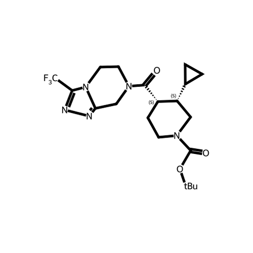 CC(C)(C)OC(=O)N1CC[C@H](C(=O)N2CCn3c(nnc3C(F)(F)F)C2)[C@H](C2CC2)C1